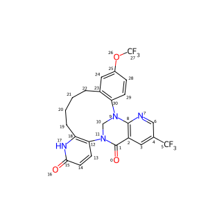 O=C1c2cc(C(F)(F)F)cnc2N2CN1c1ccc(=O)[nH]c1CCCCc1cc(OC(F)(F)F)ccc12